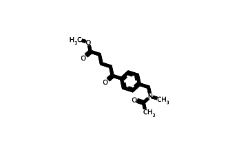 COC(=O)CCCC(=O)c1ccc(CN(C)C(C)=O)cc1